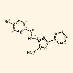 O=C(O)c1sc(-c2ccccc2)cc1NSc1ccc(Br)cc1